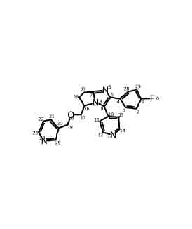 Fc1ccc(-c2nc3n(c2-c2ccncc2)C(COCc2cccnc2)CC3)cc1